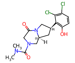 CN(C)C(=O)N1CC(=O)N2C[C@@H](c3c(O)ccc(Cl)c3Cl)C[C@H]2C1